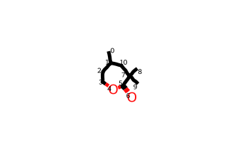 CC1CCOC(=O)C(C)(C)C1